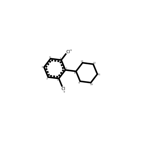 Clc1cccc(Cl)c1C1CCCCC1